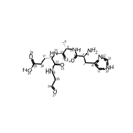 C[C@H](NC(=O)[C@@H](N)Cc1c[nH]cn1)C(=O)N[C@@H](CCC(=O)O)C(=O)NC[C]=O